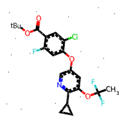 CC(C)(C)OC(=O)c1cc(Cl)c(Oc2cnc(C3CC3)c(OC(C)(F)F)c2)cc1F